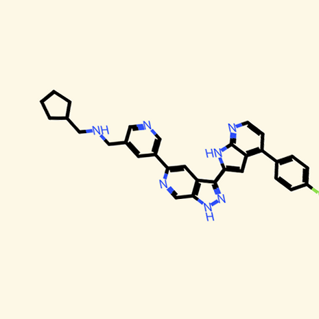 Fc1ccc(-c2ccnc3[nH]c(-c4n[nH]c5cnc(-c6cncc(CNCC7CCCC7)c6)cc45)cc23)cc1